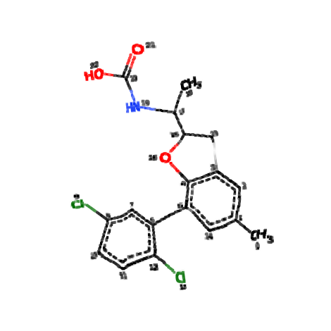 Cc1cc2c(c(-c3cc(Cl)ccc3Cl)c1)OC(C(C)NC(=O)O)C2